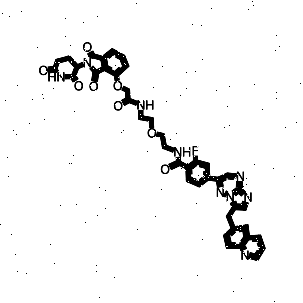 O=C(COc1cccc2c1C(=O)N(C1CCC(=O)NC1=O)C2=O)NCCOCCNC(=O)c1ccc(-c2cnc3ncc(Cc4ccc5ncccc5c4)n3n2)cc1F